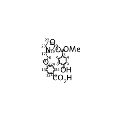 COC(=O)c1ccc(O)cc1.O=C(O)c1ccc(OCCN2CCOCC2)cc1